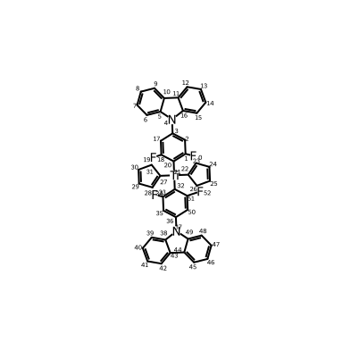 Fc1cc(-n2c3ccccc3c3ccccc32)cc(F)[c]1[Ti]([C]1=CC=CC1)([C]1=CC=CC1)[c]1c(F)cc(-n2c3ccccc3c3ccccc32)cc1F